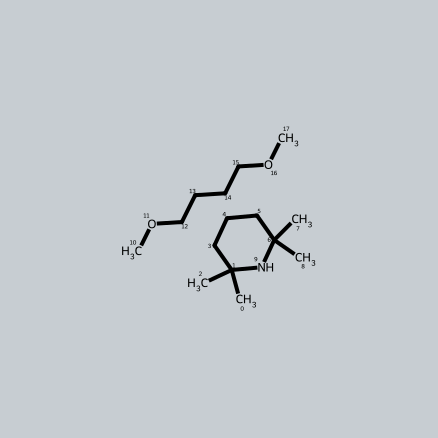 CC1(C)CCCC(C)(C)N1.COCCCCOC